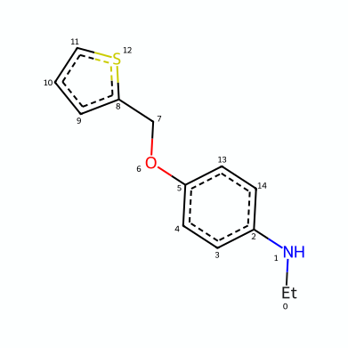 CCNc1ccc(OCc2cccs2)cc1